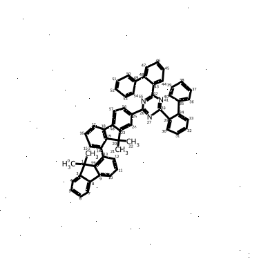 CC1(C)c2ccccc2-c2cccc(-c3cccc4c3C(C)(C)c3cc(-c5nc(-c6ccccc6-c6ccccc6)nc(-c6ccccc6-c6ccccc6)n5)ccc3-4)c21